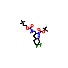 CN(CC(CC1CCC(F)(F)CC1)NC(=O)OC(C)(C)C)C(=O)OCC[Si](C)(C)C